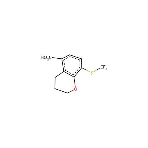 O=C(O)c1ccc(SC(F)(F)F)c2c1CCCO2